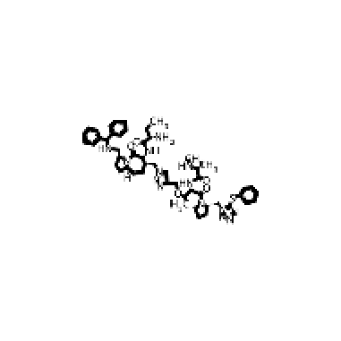 CC[C@H](N)C(=O)N[C@@H]1C(=O)N2[C@@H](CC[C@@H]1Cn1cc(COC(C)[C@H](NC(=O)[C@H](C)NC)C(=O)N3CCC[C@H]3Cn3nnnc3Sc3ccccc3)nn1)CC[C@H]2CNC(c1ccccc1)c1ccccc1